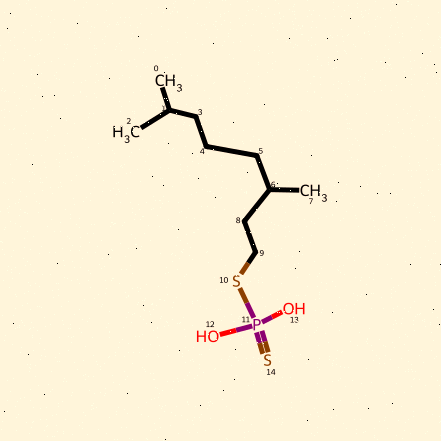 CC(C)CCCC(C)CCSP(O)(O)=S